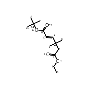 CCOC(=O)CC(C)(C)C=CC(=O)OC(C)(C)C